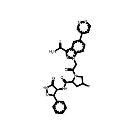 NC(=O)c1nn(CC(=O)N2CC(F)CC2C(=O)NC2C(=O)NOC2c2ccccc2)c2ccc(-c3ccnnc3)cc12